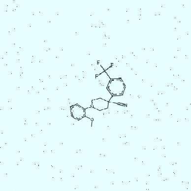 COc1ccccc1N1CCC(C#N)(c2cccc(C(F)(F)F)c2)CC1